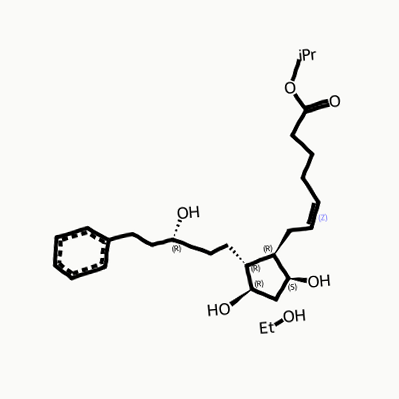 CC(C)OC(=O)CCC/C=C\C[C@@H]1[C@@H](CC[C@@H](O)CCc2ccccc2)[C@H](O)C[C@@H]1O.CCO